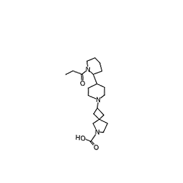 CCC(=O)N1CCCCC1C1CCN(C2CC3(CCN(C(=O)O)C3)C2)CC1